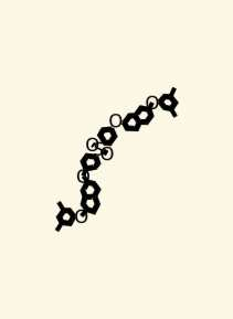 Cc1cc(C)cc(Oc2ccc3ccc(Oc4ccc(S(=O)(=O)c5ccc(Oc6ccc7ccc(Oc8cc(C)cc(C)c8)cc7c6)cc5)cc4)cc3c2)c1